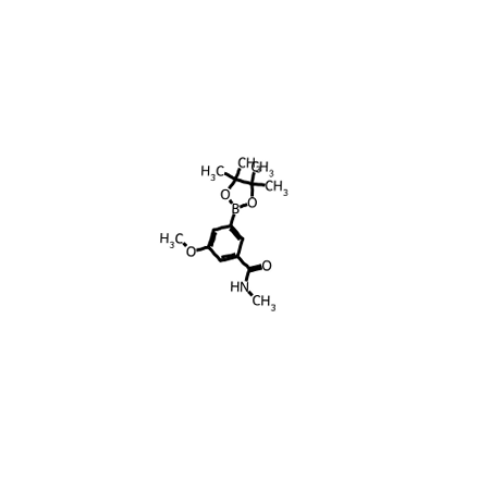 CNC(=O)c1cc(OC)cc(B2OC(C)(C)C(C)(C)O2)c1